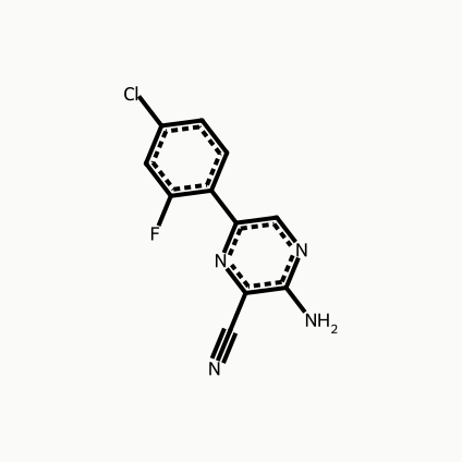 N#Cc1nc(-c2ccc(Cl)cc2F)cnc1N